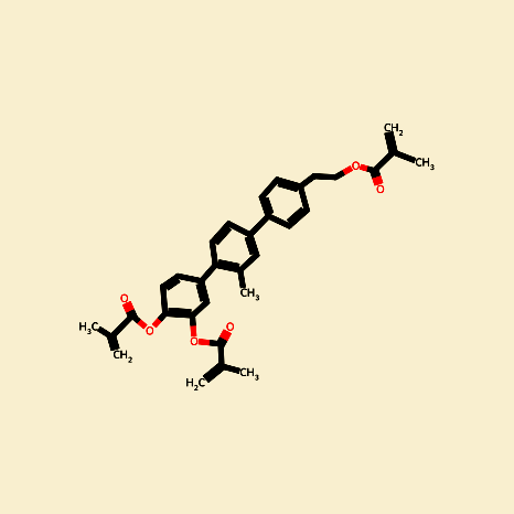 C=C(C)C(=O)OCCc1ccc(-c2ccc(-c3ccc(OC(=O)C(=C)C)c(OC(=O)C(=C)C)c3)c(C)c2)cc1